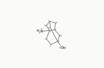 NC12CCC3(O)CC(CC1C3)C2